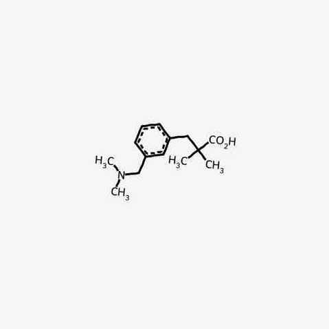 CN(C)Cc1cccc(CC(C)(C)C(=O)O)c1